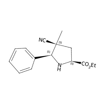 CCOC(=O)[C@@H]1C[C@](C)(C#N)[C@H](c2ccccc2)N1